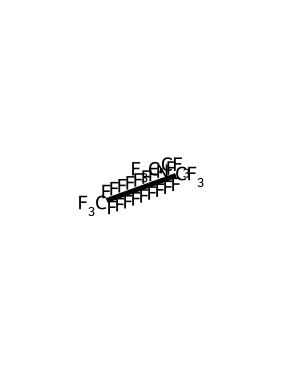 FC(F)(F)N(C(F)(F)F)C(F)(C(F)(F)C(F)(F)F)C(F)(F)C(F)(F)C(F)(F)C(F)(F)C(F)(F)C(F)(F)C(F)(F)C(F)(F)F